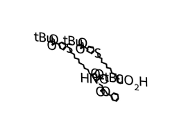 CC(C)(C)OC(=O)c1ccc(SCCCCCCCCCC(=O)N[C@@H](CCC(=O)OCc2ccccc2)C(=O)OC(C)(C)C)cc1.CC(C)(C)OC(=O)c1ccc(SCCCCCCCCCC(=O)O)cc1